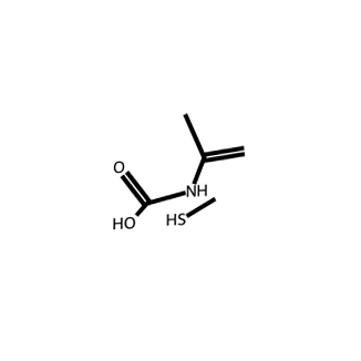 C=C(C)NC(=O)O.CS